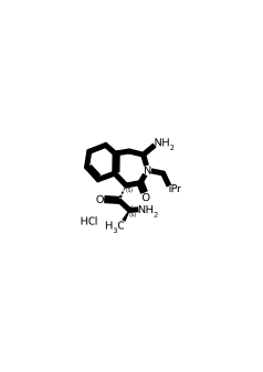 CC(C)CN1C(=O)[C@H](C(=O)[C@H](C)N)C2=C(CCC=C2)CC1N.Cl